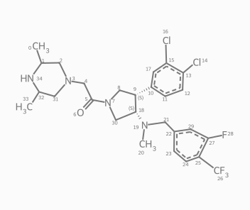 CC1CN(CC(=O)N2C[C@H](c3ccc(Cl)c(Cl)c3)[C@H](N(C)Cc3ccc(C(F)(F)F)c(F)c3)C2)CC(C)N1